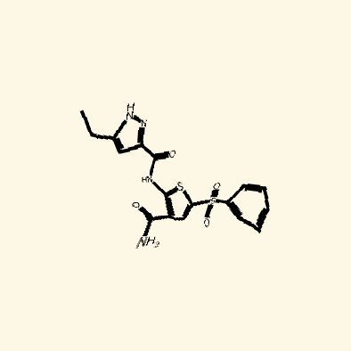 CCc1cc(C(=O)Nc2sc(S(=O)(=O)c3ccccc3)cc2C(N)=O)n[nH]1